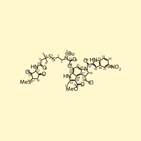 CCCCN(CCSSC(C)(C)CC(=O)NC1C(=O)CC(SC)C1=O)C(=O)Oc1cc2c(c3c(C(=O)OC)c(C)[nH]c13)[C@H](CCl)CN2C(=O)c1cc2cc([N+](=O)[O-])ccc2[nH]1